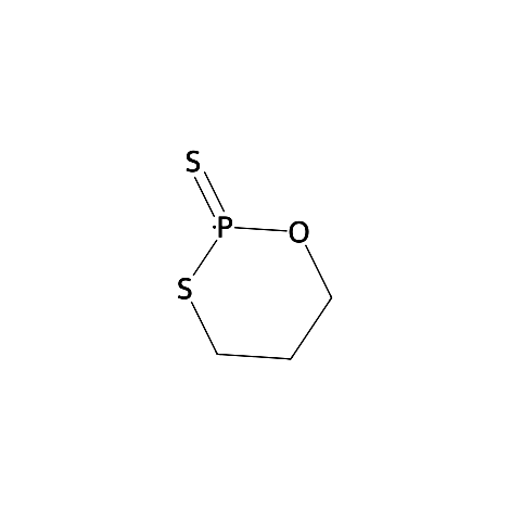 S=[P]1OCCCS1